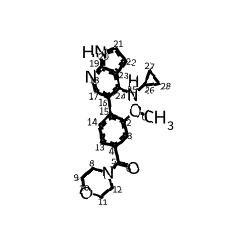 COc1cc(C(=O)N2CCOCC2)ccc1-c1cnc2[nH]ccc2c1NC1CC1